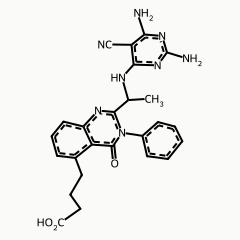 CC(Nc1nc(N)nc(N)c1C#N)c1nc2cccc(CCCC(=O)O)c2c(=O)n1-c1ccccc1